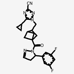 N#Cc1nc(C2CC2)n(CC2CC3(C(=O)N4N=CCC4c4cc(F)cc(F)c4)CC2C3)n1